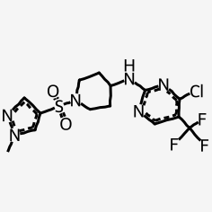 Cn1cc(S(=O)(=O)N2CCC(Nc3ncc(C(F)(F)F)c(Cl)n3)CC2)cn1